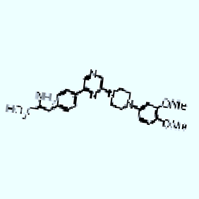 COc1ccc(N2CCN(c3cncc(-c4ccc(CC(N)C(=O)O)cc4)n3)CC2)cc1OC